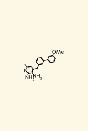 COc1cccc(-c2cccc(Cc3cc(C)nc(N)c3N)c2)c1